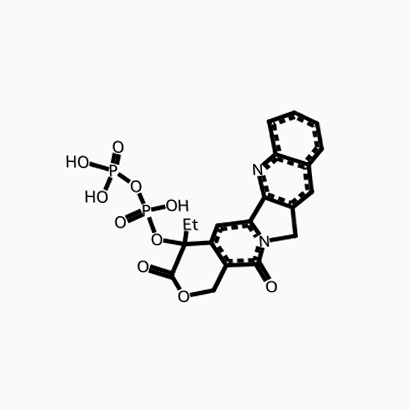 CCC1(OP(=O)(O)OP(=O)(O)O)C(=O)OCc2c1cc1n(c2=O)Cc2cc3ccccc3nc2-1